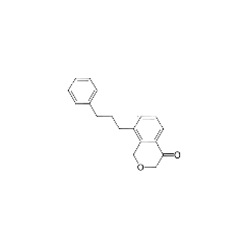 O=C1COCc2c(CCCc3ccccc3)[c]ccc21